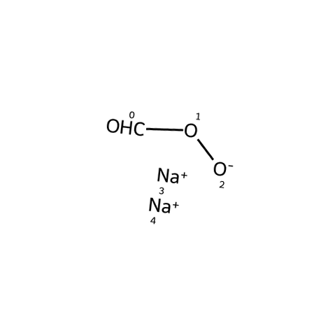 O=[C-]O[O-].[Na+].[Na+]